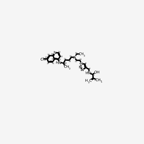 C=C(C)C(O)NCc1cn(CCN(CC)CCCC(C)Nc2ccnc3cc(Cl)ccc23)nn1